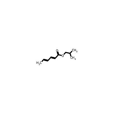 C/C=C/C=C/C(=O)OCC(C)C